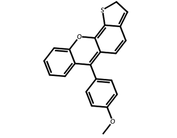 COc1ccc(C2=c3ccc4c(c3Oc3ccccc32)SCC=4)cc1